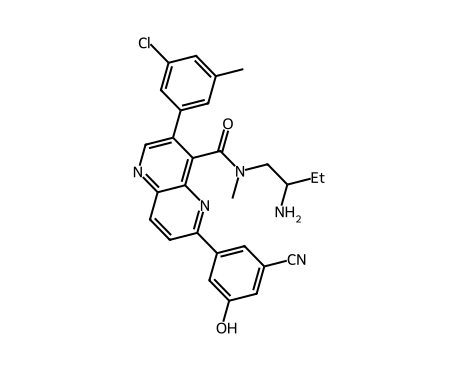 CCC(N)CN(C)C(=O)c1c(-c2cc(C)cc(Cl)c2)cnc2ccc(-c3cc(O)cc(C#N)c3)nc12